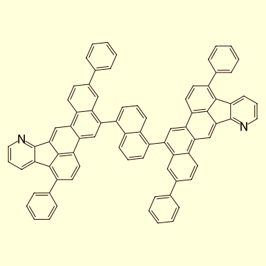 c1ccc(-c2ccc3c(c2)c(-c2cccc4c(-c5cc6c7ccc(-c8ccccc8)c8c7c(cc6c6ccc(-c7ccccc7)cc56)-c5ncccc5-8)cccc24)cc2c4ccc(-c5ccccc5)c5c4c(cc32)-c2ncccc2-5)cc1